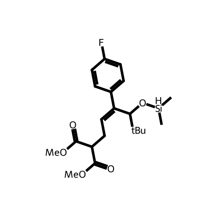 COC(=O)C(CC=C(c1ccc(F)cc1)C(O[SiH](C)C)C(C)(C)C)C(=O)OC